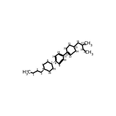 CCCC[C@H]1CC[C@H](c2ccc(C3=CCC(CC(C)CC)CC3)cc2)CC1